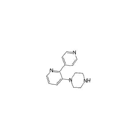 c1cnc(-c2ccncc2)c(N2CCNCC2)c1